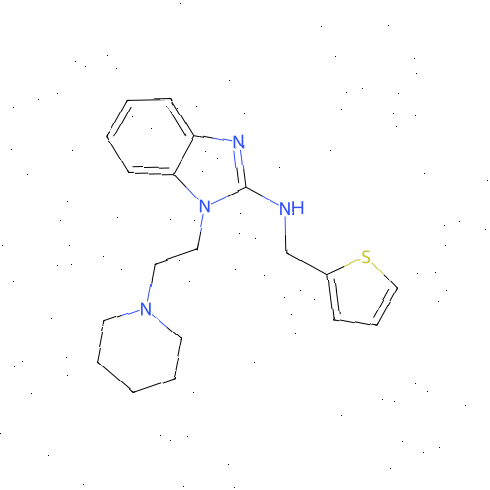 c1csc(CNc2nc3ccccc3n2CCN2CCCCC2)c1